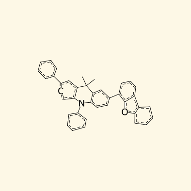 CC1(C)c2cc(-c3ccccc3)ccc2N(c2ccccc2)c2ccc(-c3cccc4c3oc3ccccc34)cc21